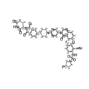 N#Cc1c(NS(=O)(=O)N2CC[C@@H](F)C2)ccc(F)c1Oc1ccc2ncn(-c3cnc(N4CCC(c5ccc6c(c5)C(=O)N(C5CCC(=O)NC5=O)C6=O)CC4)nc3)c(=O)c2c1